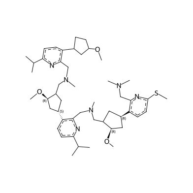 COC1CCC(c2ccc(C(C)C)nc2CN(C)CC2C[C@H](c3ccc(C(C)C)nc3CN(C)CC3C[C@@H](c4ccc(SC)nc4CN(C)C)C[C@H]3OC)C[C@H]2OC)C1